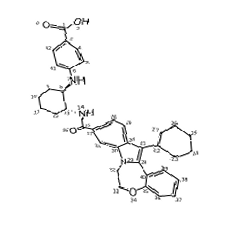 O=C(O)c1ccc(N[C@@H]2CCCC[C@H]2NC(=O)c2ccc3c(C4CCCCC4)c4n(c3c2)CCOc2ccccc2-4)cc1